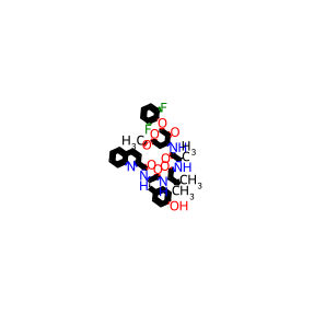 COC(=O)CC(NC(=O)[C@H](C)NC(=O)[C@@H](NC(=O)[C@H](Cc1ccc(O)cc1)NC(=O)c1ccc2ccccc2n1)C(C)C)C(=O)COc1c(F)cccc1F